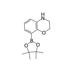 CC1(C)OB(c2cccc3c2OCCN3)OC1(C)C